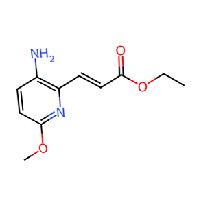 CCOC(=O)/C=C/c1nc(OC)ccc1N